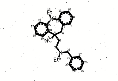 CCN(CCC1(C#N)Cc2ccccc2N(CC)c2ccccc21)Cc1ccccc1